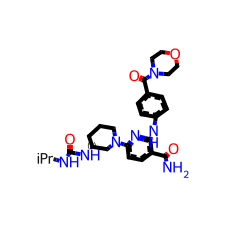 CC(C)NC(=O)N[C@@H]1CCCN(c2ccc(C(N)=O)c(Nc3ccc(C(=O)N4CCOCC4)cc3)n2)C1